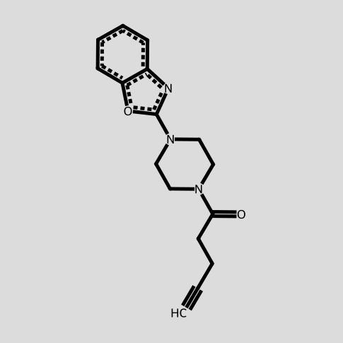 C#CCCC(=O)N1CCN(c2nc3ccccc3o2)CC1